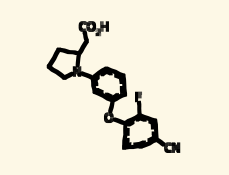 N#Cc1ccc(Oc2cccc(N3CCCC3CC(=O)O)c2)c(F)c1